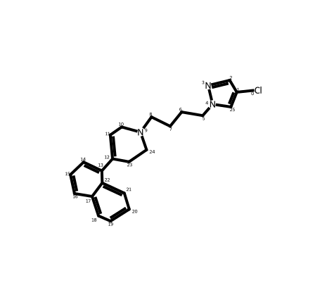 Clc1cnn(CCCCN2CC=C(c3cccc4ccccc34)CC2)c1